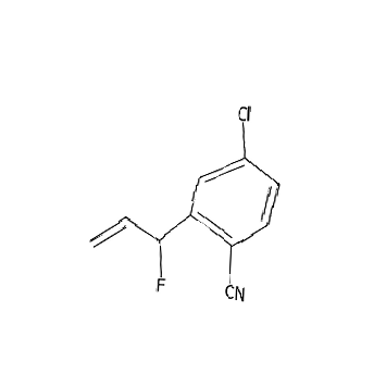 C=CC(F)c1cc(Cl)ccc1C#N